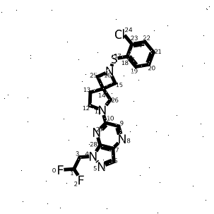 FC(F)Cn1ncc2ncc(N3CCC4(CN(Sc5ccccc5Cl)C4)C3)nc21